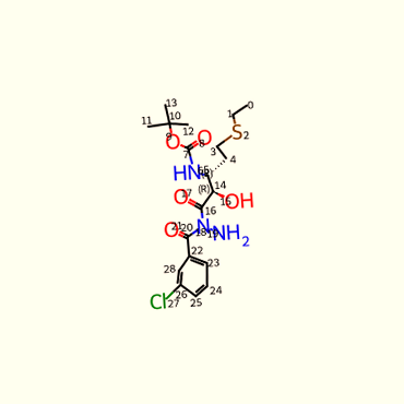 CCSCC[C@@H](NC(=O)OC(C)(C)C)[C@@H](O)C(=O)N(N)C(=O)c1cccc(Cl)c1